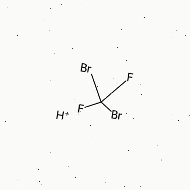 FC(F)(Br)Br.[H+]